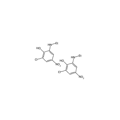 CCNc1cc([N+](=O)[O-])cc(Cl)c1O.CCNc1cc([N+](=O)[O-])cc(Cl)c1O